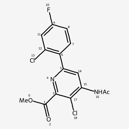 COC(=O)c1nc(-c2ccc(F)cc2Cl)cc(NC(C)=O)c1Cl